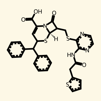 O=C(Cc1cccs1)Nc1nccnc1SCC1C(=O)N2C(C(=O)O)=CC(C(c3ccccc3)c3ccccc3)S[C@H]12